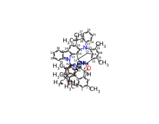 Cc1cc(C)c2c(c1)[C@@H]1OC3=[N+](C4Cc5c3c(C)cc(C)c5N3c5ccccc5C(C)(C)c5cc6c7ccccc7n(-c7cc(C(C)(C)C)cc[n+]7C)c6c4c53)[C@]1(C)c1cc(C)cc(C)c1-2